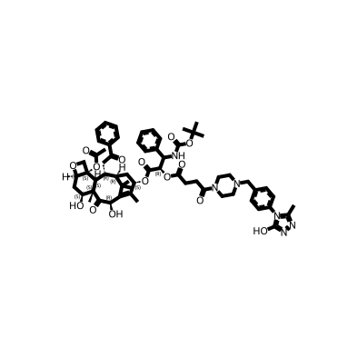 CC(=O)O[C@@]12CO[C@@H]1C[C@H](O)[C@@]1(C)C(=O)[C@H](O)C3=C(C)[C@@H](OC(=O)[C@H](OC(=O)CCC(=O)N4CCN(Cc5ccc(-n6c(C)nnc6O)cc5)CC4)C(NC(=O)OC(C)(C)C)c4ccccc4)C[C@H]([C@@H](CC(=O)c4ccccc4)[C@H]21)C3(C)C